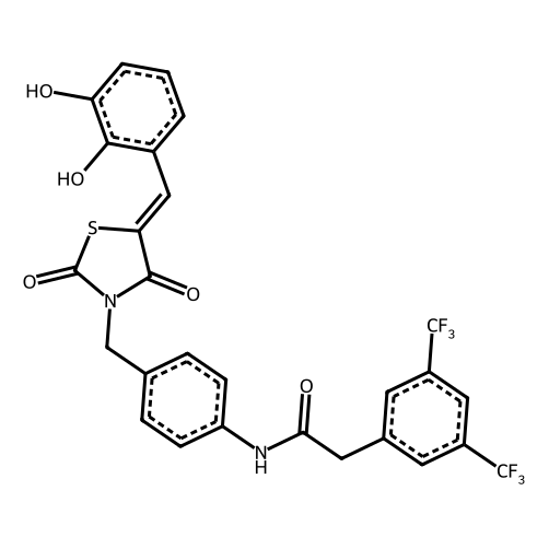 O=C(Cc1cc(C(F)(F)F)cc(C(F)(F)F)c1)Nc1ccc(CN2C(=O)S/C(=C\c3cccc(O)c3O)C2=O)cc1